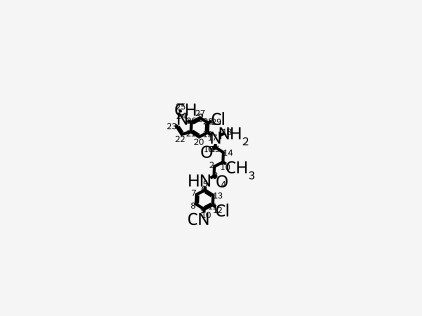 CC(CC(=O)Nc1ccc(C#N)c(Cl)c1)CC(=O)N(N)c1cc2ccn(C)c2cc1Cl